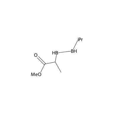 COC(=O)C(C)BBC(C)C